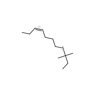 CC/C=C\CCCSC(C)(C)CC